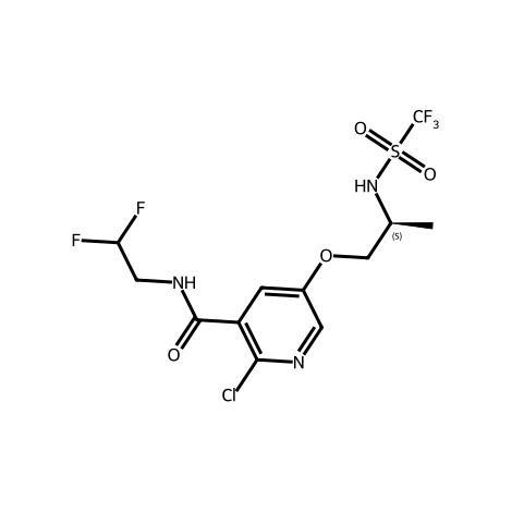 C[C@@H](COc1cnc(Cl)c(C(=O)NCC(F)F)c1)NS(=O)(=O)C(F)(F)F